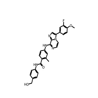 COc1ccc(-c2cnc3c(Nc4ccc(C(=O)Nc5ccc(CO)cc5)c(C)c4)nccn23)cc1F